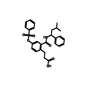 CC(C)CC(NC(=O)c1cc(OS(=O)(=O)c2ccccc2)ccc1CCC(=O)O)c1ccccc1